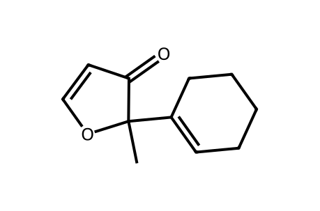 CC1(C2=CCCCC2)OC=CC1=O